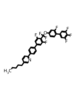 CCCCCc1ccc(-c2ccc(-c3cc(F)c(C(F)(F)Oc4ccc(-c5cc(F)c(F)c(F)c5)c(F)c4)c(F)c3)cc2)nc1